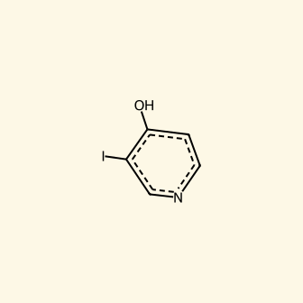 Oc1ccncc1I